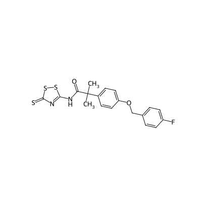 CC(C)(C(=O)Nc1nc(=S)ss1)c1ccc(OCc2ccc(F)cc2)cc1